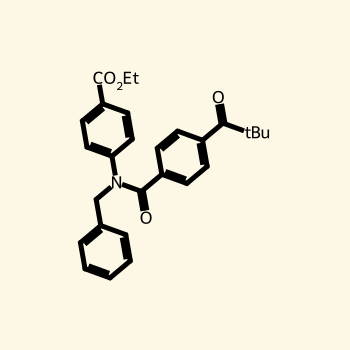 CCOC(=O)c1ccc(N(Cc2ccccc2)C(=O)c2ccc(C(=O)C(C)(C)C)cc2)cc1